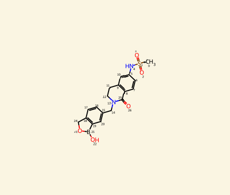 CS(=O)(=O)Nc1ccc2c(c1)CCN(Cc1ccc3c(c1)B(O)OC3)C2=O